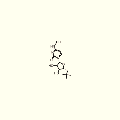 CC(C)(C)C[C@H]1O[C@@H](n2ccc(NO)nc2=O)C(O)C1O